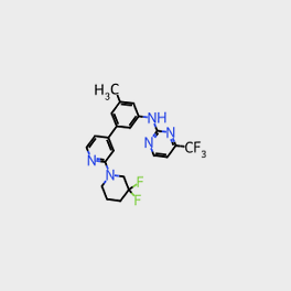 Cc1cc(Nc2nccc(C(F)(F)F)n2)cc(-c2ccnc(N3CCCC(F)(F)C3)c2)c1